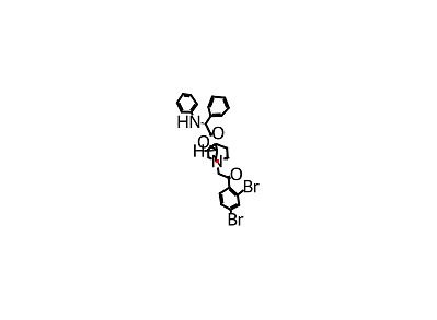 O=C(C[N+]12CCC(CC1)[C@@H](OC(=O)[C@H](Nc1ccccc1)c1ccccc1)C2)c1ccc(Br)cc1Br